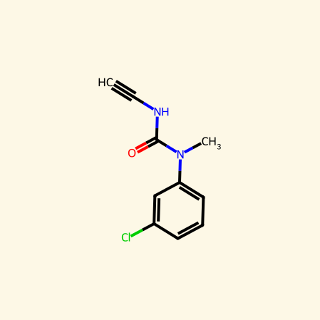 C#CNC(=O)N(C)c1cccc(Cl)c1